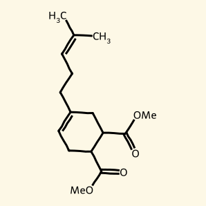 COC(=O)C1CC=C(CCC=C(C)C)CC1C(=O)OC